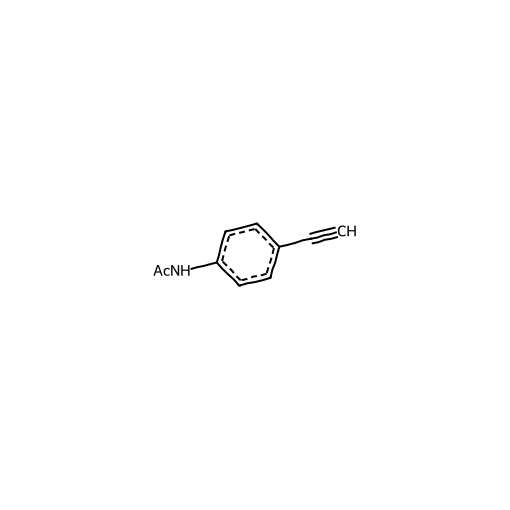 C#Cc1ccc(NC(C)=O)cc1